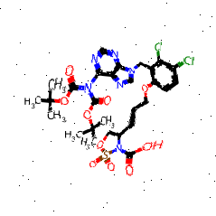 CC(C)(C)OC(=O)N(C(=O)OC(C)(C)C)c1ncnc2c1ncn2Cc1c(OCCCC2COS(=O)(=O)N2C(=O)O)ccc(Cl)c1Cl